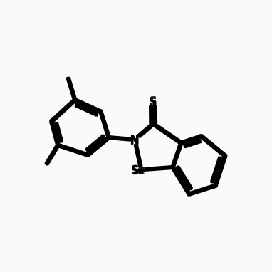 Cc1cc(C)cc(-n2[se]c3ccccc3c2=S)c1